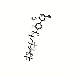 CC(C)(CCC1(C)OB(B2OC(C)(C)C(C)(C)O2)OC1(C)C)OC(=O)c1ccc(-c2cc(Br)cnc2N)cc1F